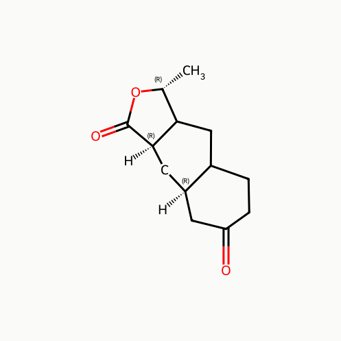 C[C@H]1OC(=O)[C@@H]2C[C@@H]3CC(=O)CCC3CC12